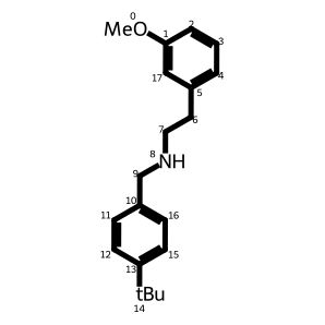 COc1cccc(CCNCc2ccc(C(C)(C)C)cc2)c1